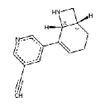 C#Cc1cncc(C2=CCC[C@H]3CN[C@@H]23)c1